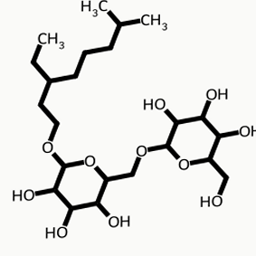 CCC(CCCC(C)C)CCOC1OC(COC2OC(CO)C(O)C(O)C2O)C(O)C(O)C1O